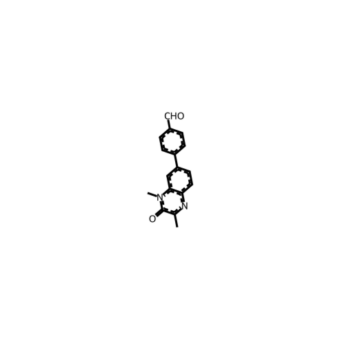 Cc1nc2ccc(-c3ccc(C=O)cc3)cc2n(C)c1=O